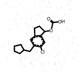 O=C(O)OC1CCc2cc(CC3CCCC3)c(Cl)cc21